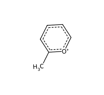 Cc1cccc[o+]1